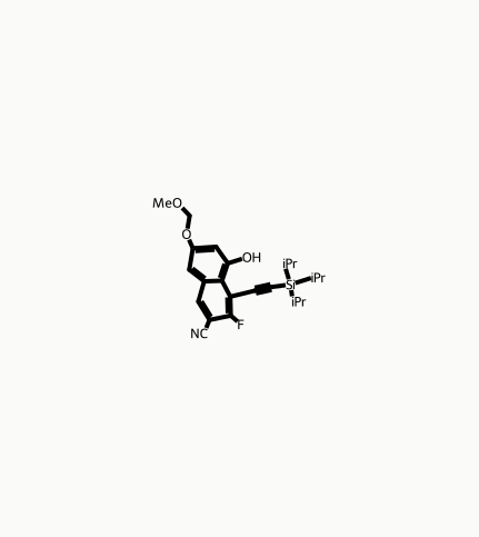 COCOc1cc(O)c2c(C#C[Si](C(C)C)(C(C)C)C(C)C)c(F)c(C#N)cc2c1